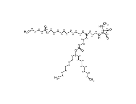 CCCCCCCCCC(CCCCCCCCC)OC(=O)CCCCN(CCCCCCCCCCCOC(=O)CCCCC)CCCNc1c(NC)c(=O)c1=O